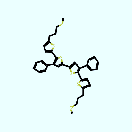 CSCCCc1ccc(-c2sc(-c3cc(-c4ccccc4)c(-c4ccc(CCCSC)s4)s3)cc2-c2ccccc2)s1